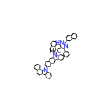 CC1=C(c2cccc3ccc(N4C5=CC6=CC=C(n7c8c(c9ccc%10ccccc%10c97)CCC=C8)CC6C=C5C5C=CC=CC54)cc23)NC(c2ccc3ccccc3c2)=NC1c1ccccc1